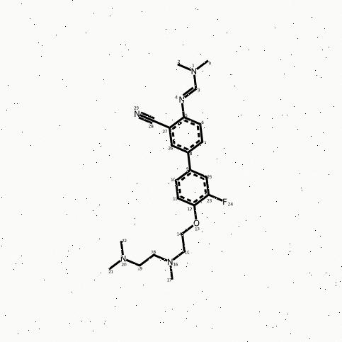 CN(C)C=Nc1ccc(-c2ccc(OCCN(C)CCN(C)C)c(F)c2)cc1C#N